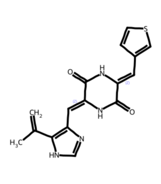 C=C(C)c1[nH]cnc1/C=c1\[nH]c(=O)/c(=C/c2ccsc2)[nH]c1=O